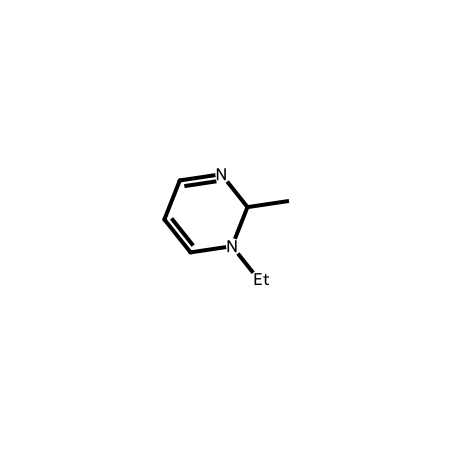 CCN1C=CC=NC1C